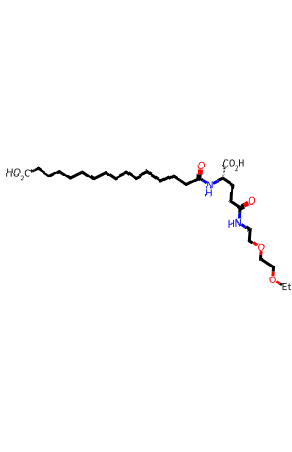 CCOCCOCCNC(=O)CC[C@H](NC(=O)CCCCCCCCCCCCCCC(=O)O)C(=O)O